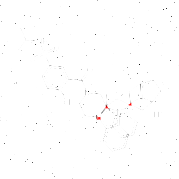 Cc1nc2ccccc2n1C1C[C@H]2CC[C@@H](C1)N2CCC1(c2ccccc2)CN(C(=O)c2cc(S(=O)(=O)NC(C)C)ccc2Cl)CCO1